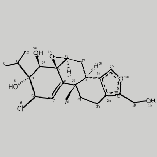 CC(C)[C@]1(O)C(Cl)C=C2[C@]3(O[C@H]3C[C@H]3c4coc(CO)c4CC[C@]23C)[C@@H]1O